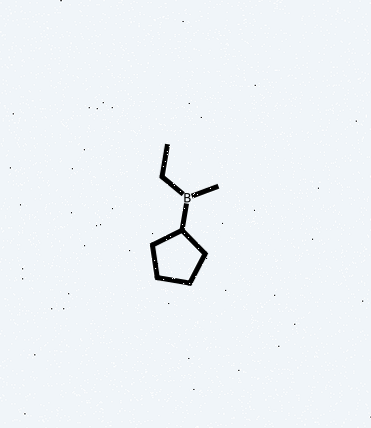 CCB(C)C1CCCC1